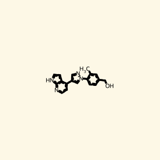 Cc1cc(CO)ccc1-n1cc(-c2ccnc3[nH]ccc23)cn1